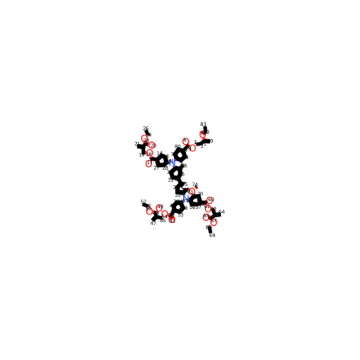 C=C(CCOC(=O)c1ccc(N(c2ccc(C(=O)OCC(=C)C(=O)OCC)cc2)c2ccc(-c3ccc(N(c4ccc(C(=O)OCC(=C)C(=O)OCC)cc4)c4ccc(C(=O)OCC(=C)C(=O)OCC)cc4)c(OC)c3)cc2C)cc1)OCC